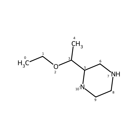 CCOC(C)C1CNCC[N]1